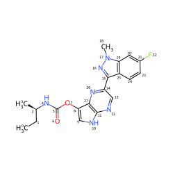 CC[C@@H](C)NC(=O)Oc1c[nH]c2ncc(-c3nn(C)c4cc(F)ccc34)nc12